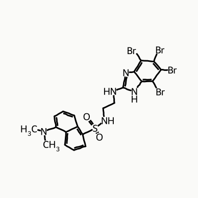 CN(C)c1cccc2c(S(=O)(=O)NCCNc3nc4c(Br)c(Br)c(Br)c(Br)c4[nH]3)cccc12